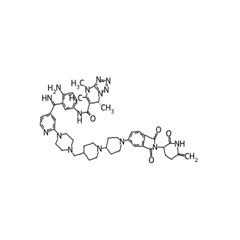 C=C1CCC(N2C(=O)c3ccc(N4CCC(N5CCC(CN6CCN(c7cc(C(=N)c8cc(NC(=O)C9=C(C)N(C)c%10nnnn%10[C@@H]9C)ccc8N)ccn7)CC6)CC5)CC4)cc3C2=O)C(=O)N1